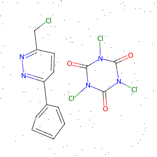 ClCc1ccc(-c2ccccc2)nn1.O=c1n(Cl)c(=O)n(Cl)c(=O)n1Cl